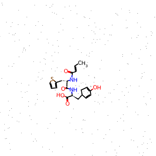 CC=CC(=O)N[C@@H](Cc1cccs1)C(=O)N[C@@H](CC1C=CC(O)=CC1)C(=O)O